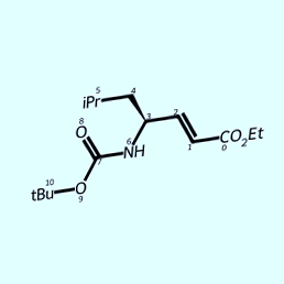 CCOC(=O)C=C[C@H](CC(C)C)NC(=O)OC(C)(C)C